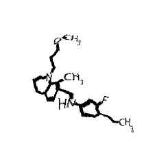 CCCc1ccc(NCc2ccc3c(c2C)N(CCCOC)CCC3)cc1F